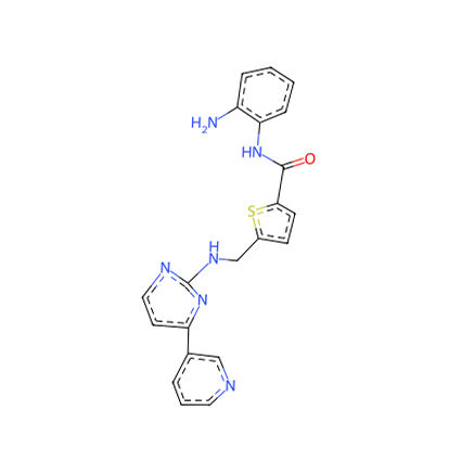 Nc1ccccc1NC(=O)c1ccc(CNc2nccc(-c3cccnc3)n2)s1